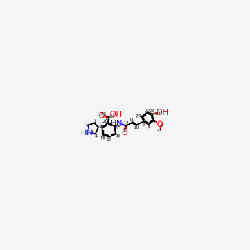 C1CCNC1.COc1cc(/C=C/C(=O)Nc2ccccc2C(=O)O)ccc1O